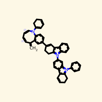 C=C1/C=C\C=C/N(C2=CC=CCC2)c2ccc(C3=Cc4c(n(-c5ccc6c7c(n(-c8ccccc8)c6c5)CCC=C7)c5ccccc45)CC3)cc21